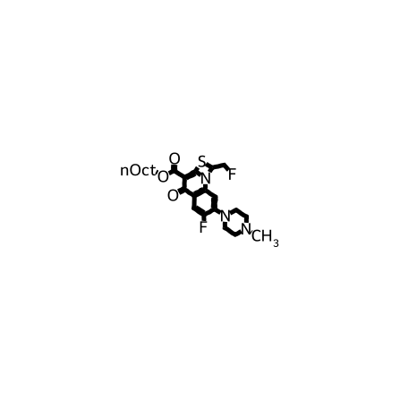 CCCCCCCCOC(=O)c1c2n(c3cc(N4CCN(C)CC4)c(F)cc3c1=O)C(CF)S2